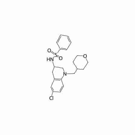 O=S(=O)(NC1Cc2cc(Cl)ccc2N(CC2CCOCC2)C1)c1ccccc1